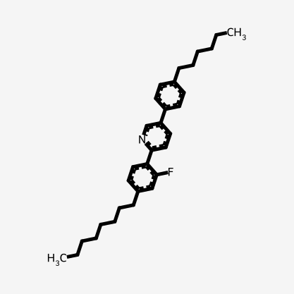 CCCCCCCCc1ccc(-c2ccc(-c3ccc(CCCCCC)cc3)cn2)c(F)c1